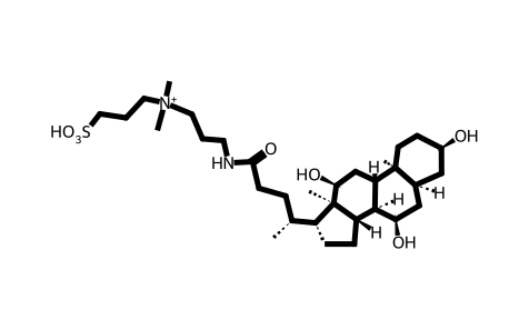 C[C@H](CCC(=O)NCCC[N+](C)(C)CCCS(=O)(=O)O)[C@H]1CC[C@H]2[C@@H]3[C@H](O)C[C@@H]4C[C@H](O)CC[C@]4(C)[C@H]3C[C@H](O)[C@]12C